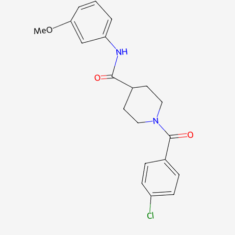 COc1cccc(NC(=O)C2CCN(C(=O)c3ccc(Cl)cc3)CC2)c1